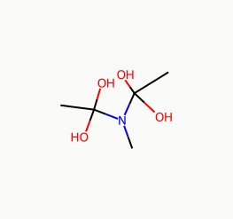 CN(C(C)(O)O)C(C)(O)O